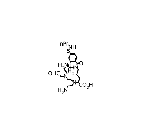 CCCNSC1=CC=C(C(=O)NCCCC(C(=O)O)N(CCN)CCN(CC=O)CCN)C(C)C1